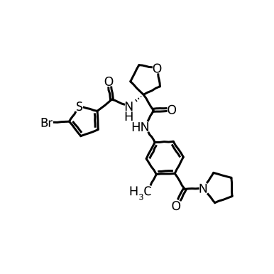 Cc1cc(NC(=O)[C@@]2(NC(=O)c3ccc(Br)s3)CCOC2)ccc1C(=O)N1CCCC1